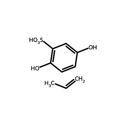 C=CC.O=S(=O)(O)c1cc(O)ccc1O